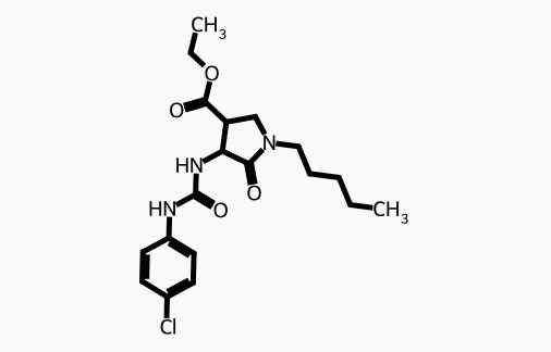 CCCCCN1CC(C(=O)OCC)C(NC(=O)Nc2ccc(Cl)cc2)C1=O